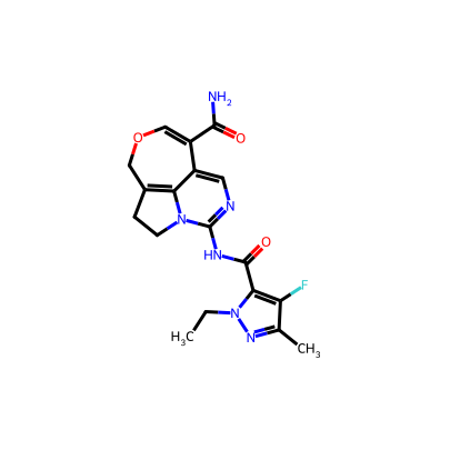 CCn1nc(C)c(F)c1C(=O)NC1=NC=C2C(C(N)=O)=COCC3=C2N1CC3